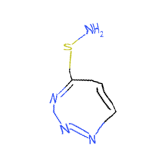 NSc1ccnnn1